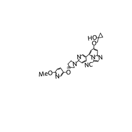 COc1ccc(O[C@@H]2CCN(c3ccc(-c4cc(OCC5(O)CC5)cc5ncc(C#N)n45)cn3)C2)cn1